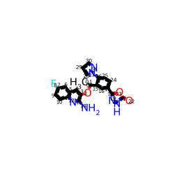 C[C@H](Oc1cc2cc(F)ccc2nc1N)c1cc(-c2n[nH]c(=O)o2)ccc1-n1cccn1